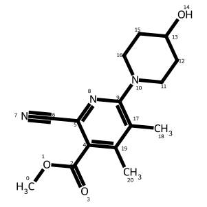 COC(=O)c1c(C#N)nc(N2CCC(O)CC2)c(C)c1C